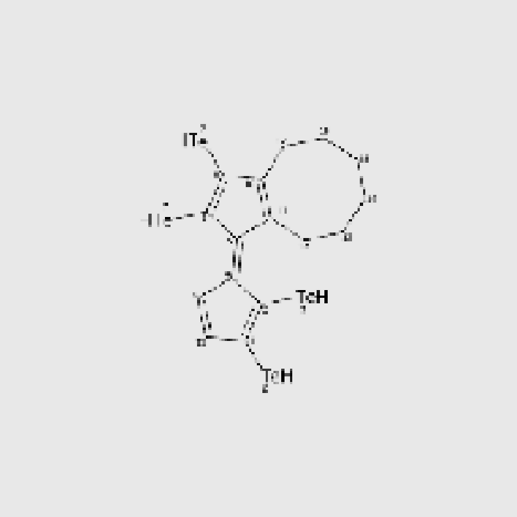 [TeH]C1=C([TeH])C(=C2C([TeH])=C([TeH])C3=C2CCCCCC3)C=C1